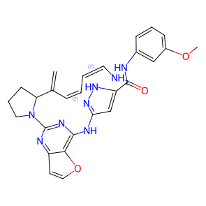 C=C(/C=C\C=C/N)C1CCCN1c1nc(Nc2cc(C(=O)Nc3cccc(OC)c3)[nH]n2)c2occc2n1